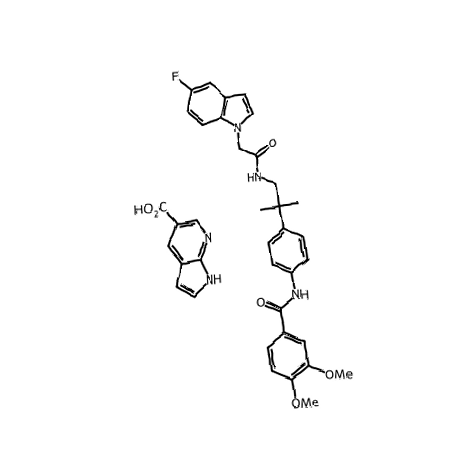 COc1ccc(C(=O)Nc2ccc(C(C)(C)CNC(=O)Cn3ccc4cc(F)ccc43)cc2)cc1OC.O=C(O)c1cnc2[nH]ccc2c1